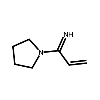 C=CC(=N)N1CCCC1